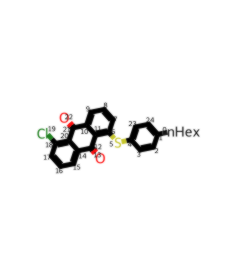 CCCCCCc1ccc(Sc2cccc3c2C(=O)c2cccc(Cl)c2C3=O)cc1